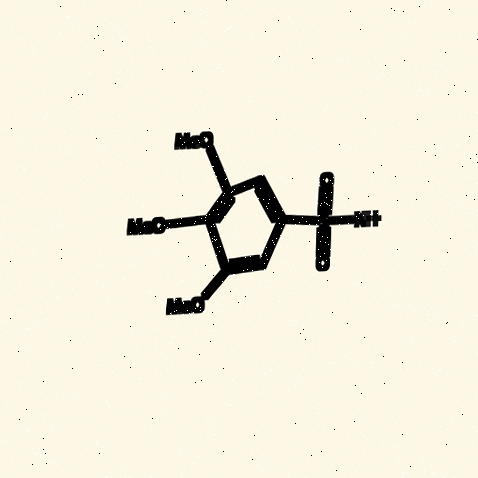 COc1cc(S([NH])(=O)=O)cc(OC)c1OC